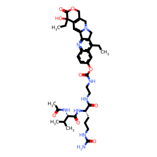 CCc1c2c(nc3ccc(OC(=O)NCCNC(=O)[C@H](CCCNC(N)=O)NC(=O)[C@@H](NC(C)=O)C(C)C)cc13)C1=CC3=C(COC(=O)C3(O)CC)CN1C2